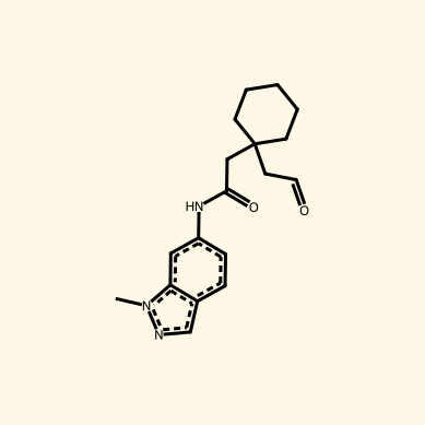 Cn1ncc2ccc(NC(=O)CC3(CC=O)CCCCC3)cc21